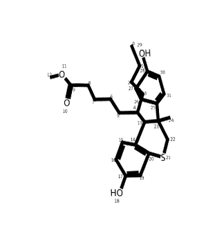 CCCCC(CCCCC(=O)OC)C1c2ccc(O)cc2SCC1(C)c1ccc(O)cc1